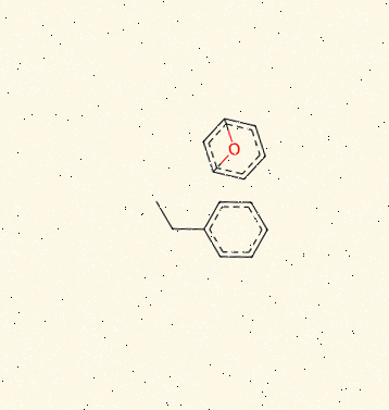 CCc1ccccc1.c1cc2cc(c1)O2